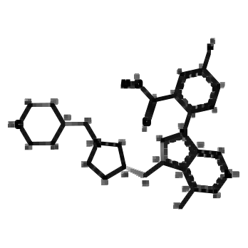 COC(=O)c1cc(F)ccc1-n1cc(C[C@@H]2CCN(CC3CCOCC3)C2)c2c(C)cncc21